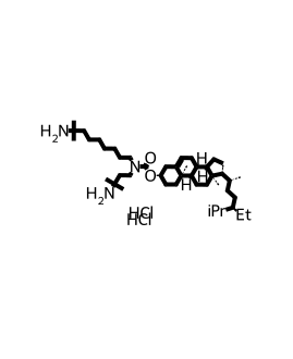 CC[C@H](CC[C@@H](C)[C@H]1CC[C@H]2[C@@H]3CC=C4C[C@@H](OC(=O)N(CCCCCCCC(C)(C)N)CCC(C)(C)N)CC[C@]4(C)[C@H]3CC[C@]12C)C(C)C.Cl.Cl